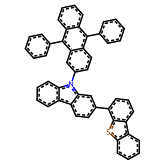 c1ccc(-c2c3ccccc3c(-c3ccccc3)c3cc(-n4c5ccccc5c5ccc(-c6cccc7c6sc6ccccc67)cc54)ccc23)cc1